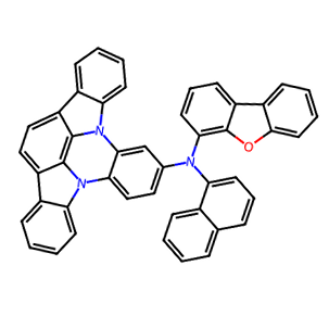 c1ccc2c(N(c3ccc4c(c3)n3c5ccccc5c5ccc6c7ccccc7n4c6c53)c3cccc4c3oc3ccccc34)cccc2c1